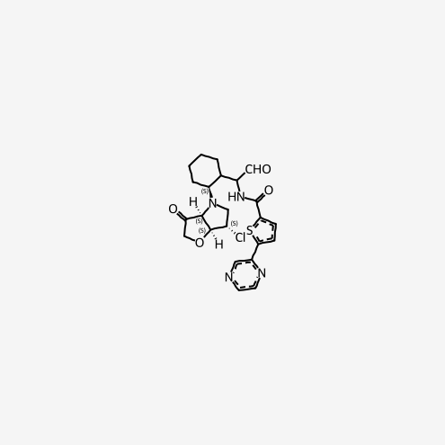 O=CC(NC(=O)c1ccc(-c2cnccn2)s1)C1CCCC[C@@H]1N1C[C@H](Cl)[C@H]2OCC(=O)[C@H]21